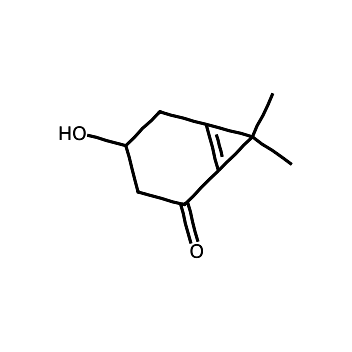 CC1(C)C2=C1C(=O)CC(O)C2